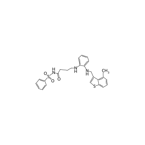 Cc1cccc2scc(CNc3ccccc3NCCCC(=O)NS(=O)(=O)c3ccccc3)c12